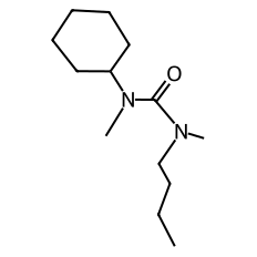 CCCCN(C)C(=O)N(C)C1CCCCC1